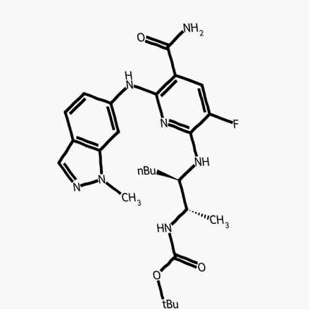 CCCC[C@@H](Nc1nc(Nc2ccc3cnn(C)c3c2)c(C(N)=O)cc1F)[C@H](C)NC(=O)OC(C)(C)C